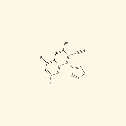 N#Cc1c(O)nc2c(F)cc(Cl)cc2c1-c1cscn1